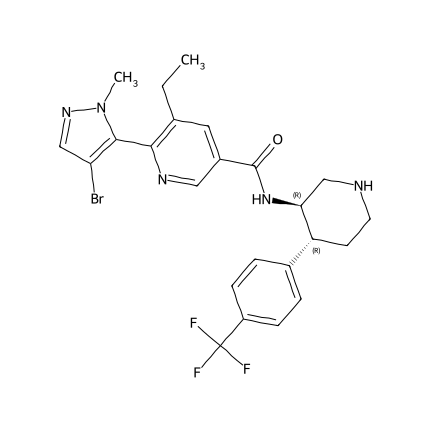 CCc1cc(C(=O)N[C@H]2CNCC[C@@H]2c2ccc(C(F)(F)F)cc2)cnc1-c1c(Br)cnn1C